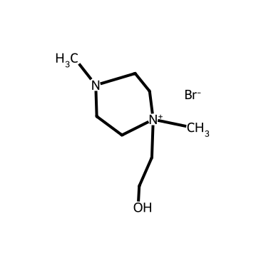 CN1CC[N+](C)(CCO)CC1.[Br-]